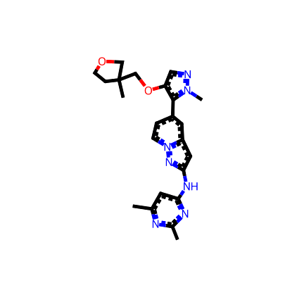 Cc1cc(Nc2cc3cc(-c4c(OCC5(C)CCOC5)cnn4C)ccn3n2)nc(C)n1